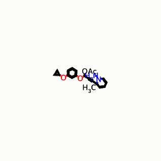 CC(=O)OC(C#CC1(C)C=CC=CN1N)Oc1cccc(OC2CC2)c1